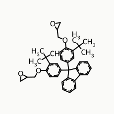 CC(C)(C)c1cc(C2(c3ccc(OCC4CO4)c(C(C)(C)C)c3)c3ccccc3-c3ccccc32)ccc1OCC1CO1